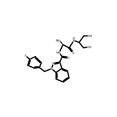 CC(C)(C)[C@H](NC(=O)c1nn(Cc2ccc(F)cc2)c2ccccc12)C(=O)NC(CO)CO